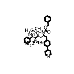 CC(C)(C)N(C(=O)O)[C@@H](Cc1ccccc1)[C@H](C[C@H](Cc1ccc(-c2ccncc2)cc1)NC(=O)OCc1ccccc1)O[Si](C)(C)C(C)(C)C